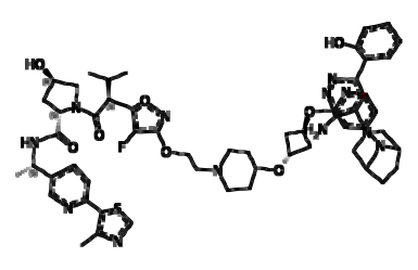 Cc1ncsc1-c1ccc([C@H](C)NC(=O)[C@@H]2C[C@@H](O)CN2C(=O)[C@H](c2onc(OCCN3CCC(O[C@H]4C[C@H](Oc5cc(N6C7CCC6CN(c6cc(-c8ccccc8O)nnc6N)C7)ccn5)C4)CC3)c2F)C(C)C)cn1